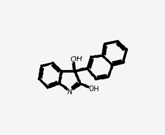 OC1=Nc2ccccc2C1(O)c1ccc2ccccc2c1